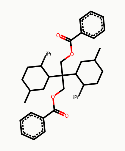 CC1CCC(C(C)C)C(C(COC(=O)c2ccccc2)(COC(=O)c2ccccc2)C2CC(C)CCC2C(C)C)C1